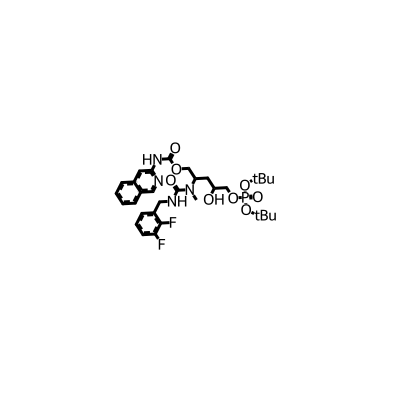 CN(C(=O)NCc1cccc(F)c1F)C(COC(=O)Nc1cc2ccccc2cn1)CC(O)COP(=O)(OC(C)(C)C)OC(C)(C)C